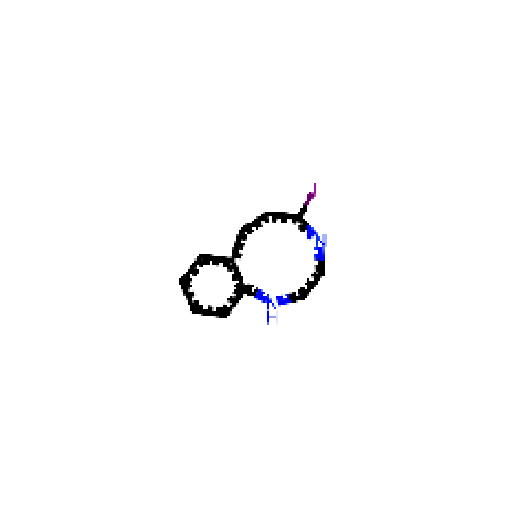 Ic1ccc2ccccc2[nH]ccn1